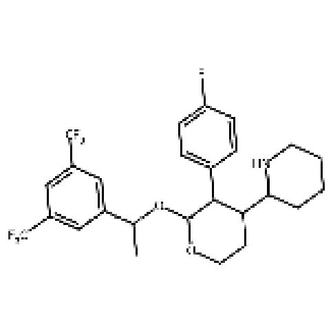 CC(OC1OCCC(C2CCCCN2)C1c1ccc(F)cc1)c1cc(C(F)(F)F)cc(C(F)(F)F)c1